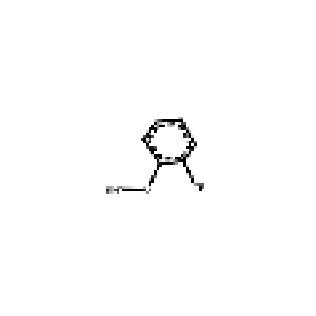 [CH2]CCOc1ccccc1C(F)(F)F